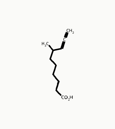 C=C=CC(C)CCCCCC(=O)O